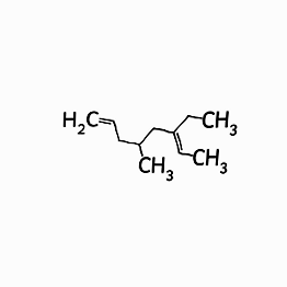 C=CCC(C)CC(=CC)CC